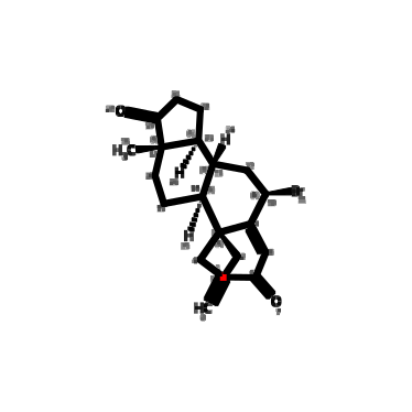 C#CC[C@]12CCC(=O)C=C1[C@H](Br)C[C@@H]1[C@@H]2CC[C@]2(C)C(=O)CC[C@@H]12